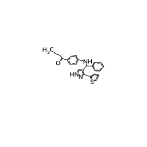 CCCC(=O)c1ccc(NC(c2ccccc2)c2c[nH]nc2-c2cccs2)cc1